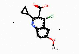 COc1ccc2nc(C3CC3)c(C(=O)O)c(Cl)c2c1